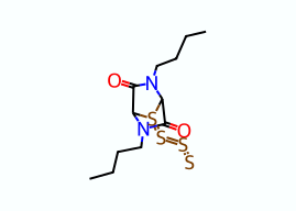 CCCCN1C(=O)C2N(CCCC)C(=O)C1S2=S=S=S